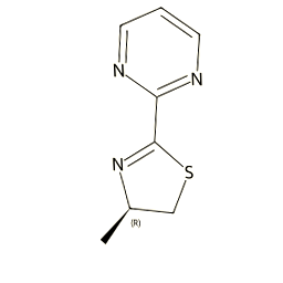 C[C@@H]1CSC(c2ncccn2)=N1